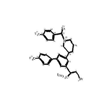 CCOC(=O)C(CC(C)C)c1cc(-c2ccc(C(F)(F)F)cc2)cc(C2CCCN(C(CC)c3ccc(C(F)(F)F)cc3)C2)c1